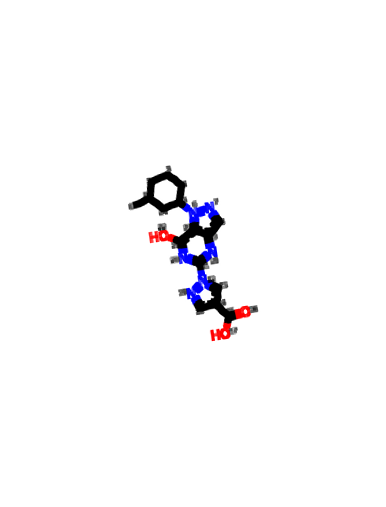 CC1CCCC(n2ncc3nc(-n4cc(C(=O)O)cn4)nc(O)c32)C1